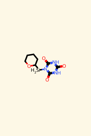 O=c1[nH]c(=O)n([SiH2]C2CCCCO2)c(=O)[nH]1